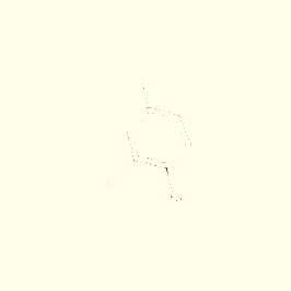 Cc1[c]cc([N+](=O)[O-])c(N)c1